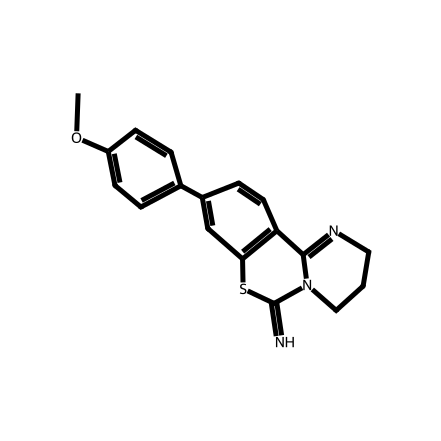 COc1ccc(-c2ccc3c(c2)SC(=N)N2CCCN=C32)cc1